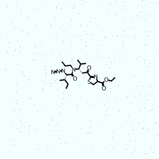 CCCN(C(=O)[C@@H](N=[N+]=[N-])C(C)CC)[C@@H](CC(=O)C1=NC(C(=O)OCC)CS1)C(C)C